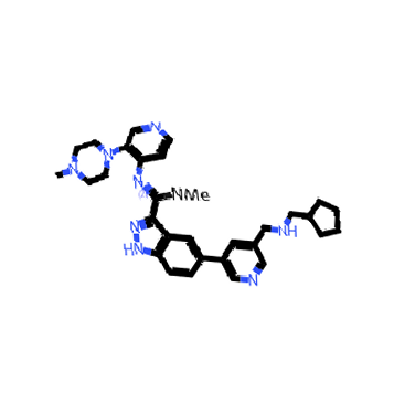 CN/C(=N\c1ccncc1N1CCN(C)CC1)c1n[nH]c2ccc(-c3cncc(CNCC4CCCC4)c3)cc12